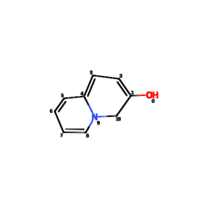 OC1=CC=C2C=CC=CN2C1